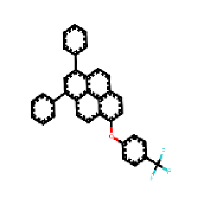 FC(F)(F)c1ccc(Oc2ccc3ccc4c(-c5ccccc5)cc(-c5ccccc5)c5ccc2c3c45)cc1